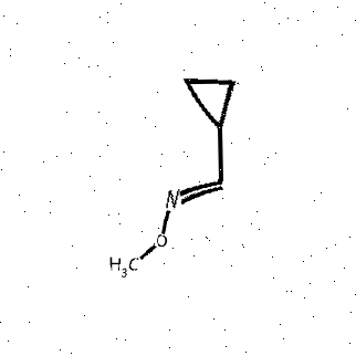 CO/N=C/C1[CH]C1